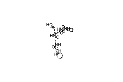 CC(C)(CC[C@@H](COC(=O)NS(=O)(=O)NCc1ccccc1)NC(=O)CCCNC(=O)OC[C@@H]1[C@@H]2CCC#CCC[C@@H]21)[Si](C)(C)O